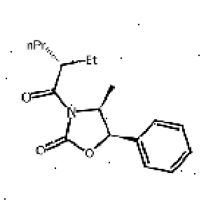 CCC[C@H](CC)C(=O)N1C(=O)O[C@H](c2ccccc2)[C@@H]1C